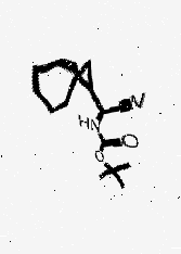 CC(C)(C)OC(=O)NC(C#N)C1CC12CCCCC2